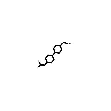 CCCCCOC1CCC(C2CCC(C=C(F)F)CC2)CC1